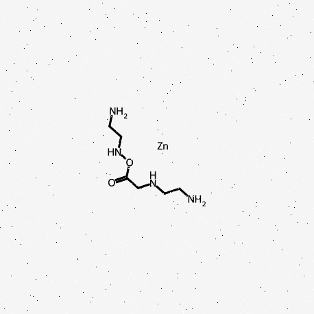 NCCNCC(=O)ONCCN.[Zn]